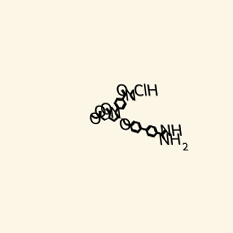 COC(=O)C[C@@H]1C[C@@H](COc2ccc(-c3ccc(C(=N)N)cc3)cc2)N(c2ccc(C(=O)N(C)C)cc2)C1=O.Cl